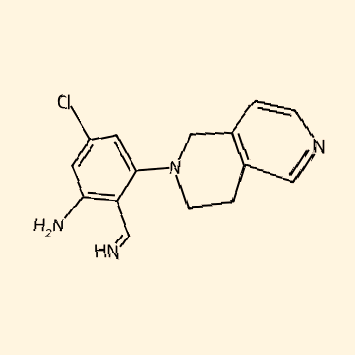 N=Cc1c(N)cc(Cl)cc1N1CCc2cnccc2C1